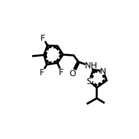 Cc1c(F)cc(CC(=O)Nc2ncc(C(C)C)s2)c(F)c1F